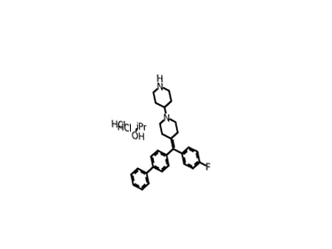 CC(C)O.Cl.Cl.Fc1ccc(C(=C2CCN(C3CCNCC3)CC2)c2ccc(-c3ccccc3)cc2)cc1